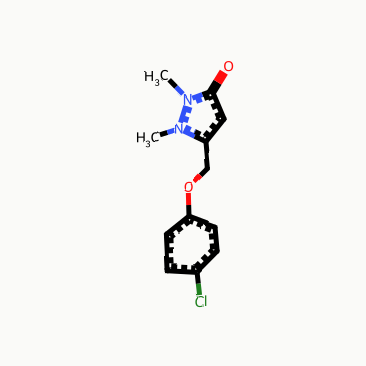 Cn1c(COc2ccc(Cl)cc2)cc(=O)n1C